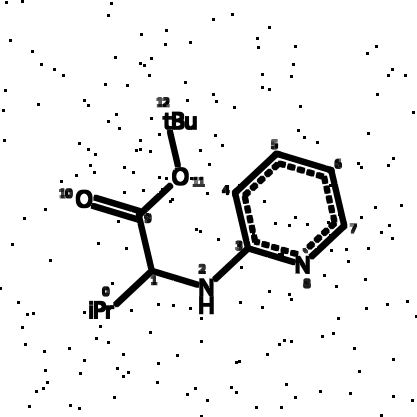 CC(C)C(Nc1ccccn1)C(=O)OC(C)(C)C